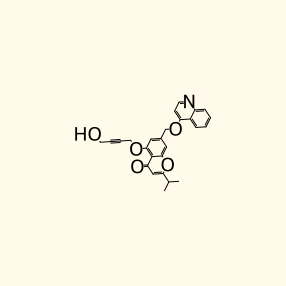 CC(C)c1cc(=O)c2c(OCC#CCO)cc(COc3ccnc4ccccc34)cc2o1